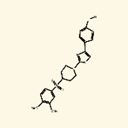 CCOc1ccc(-c2csc(N3CCC(S(=O)(=O)c4ccc(OC)c(OC)c4)CC3)n2)cc1